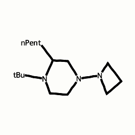 CCCCCC1CN(N2CCC2)CCN1C(C)(C)C